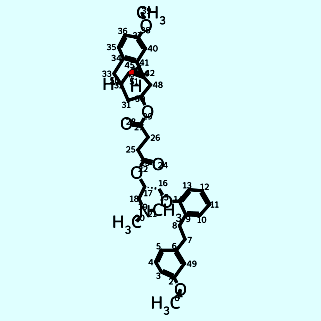 COc1cccc(CCc2ccccc2OC[C@H](CN(C)C)OC(=O)CCC(=O)OC2C[C@H]3Cc4ccc(OC)cc4[C@@]4(CCCC[C@H]34)C2)c1